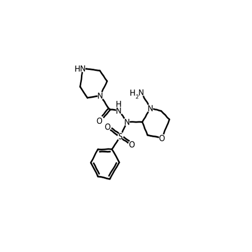 NN1CCOCC1N(NC(=O)N1CCNCC1)S(=O)(=O)c1ccccc1